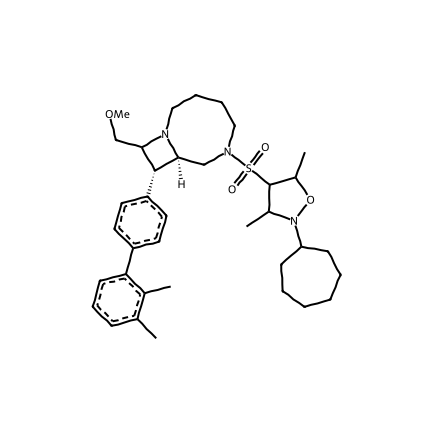 COCC1[C@@H](c2ccc(-c3cccc(C)c3C)cc2)[C@@H]2CN(S(=O)(=O)C3C(C)ON(C4CCCCCC4)C3C)CCCCN12